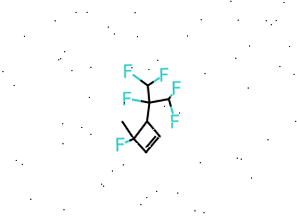 CC1(F)C=CC1C(F)(C(F)F)C(F)F